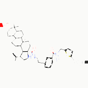 C=C(C)[C@@H]1CC[C@]2(C(=O)NCCc3cccc(C(=O)NCc4ccc(C(=O)O)s4)c3)CC[C@]3(C)C(CCC4[C@@]5(C)CC[C@H](O)C(C)(C)C5CC[C@]43C)C12